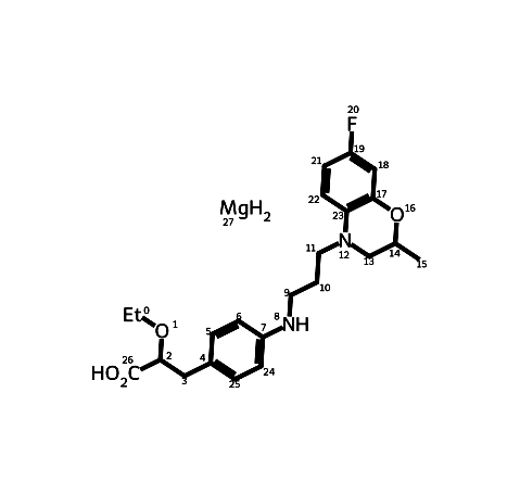 CCOC(Cc1ccc(NCCCN2CC(C)Oc3cc(F)ccc32)cc1)C(=O)O.[MgH2]